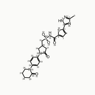 Cc1n[nH]c(-c2ccc(C(=O)NS(=O)(=O)CC3CC(=O)N(c4ccc(N5CCCCC5=O)cc4)C3)s2)n1